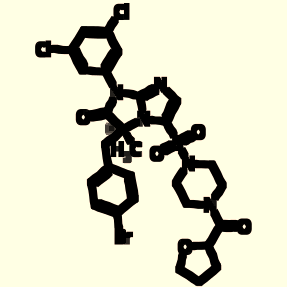 C[C@@]1(Cc2ccc(Br)cc2)C(=O)N(c2cc(Cl)cc(Cl)c2)c2ncc(S(=O)(=O)N3CCN(C(=O)C4CCCO4)CC3)n21